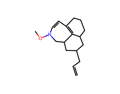 C=CCC1CC2CCCC3=C2C(C1)CN(OC)C=C3